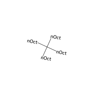 CCCCCCCCC(CCCCCCCC)(CCCCCCCC)CCCCCCCC